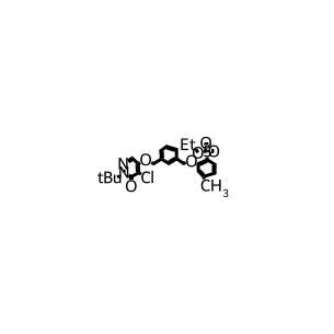 CCOS(=O)(=O)c1ccc(C)cc1OCc1cccc(COc2cnn(C(C)(C)C)c(=O)c2Cl)c1